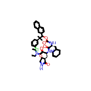 CCN(CC)C(=O)C(=O)[C@H](C[C@@H]1CCNC1=O)NC(=O)[C@H](CC1CCCCC1)NC(=O)OC(c1ccc2ccccc2c1)C(C)(C)c1cccc(Cl)c1